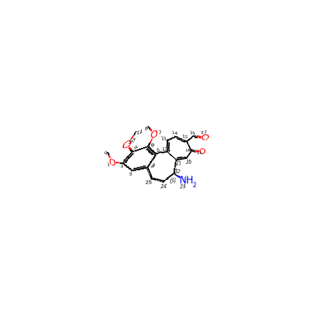 COc1cc2c(c(OC)c1OC)-c1ccc(C=O)c(=O)cc1[C@@H](N)CC2